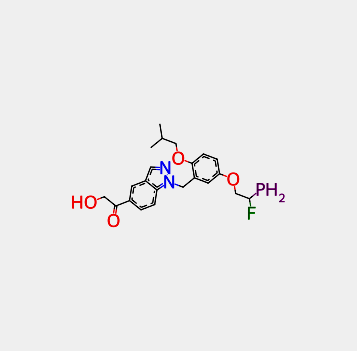 CC(C)COc1ccc(OCC(F)P)cc1Cn1ncc2cc(C(=O)CO)ccc21